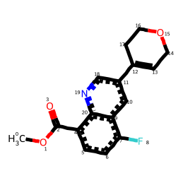 COC(=O)c1ccc(F)c2cc(C3=CCOCC3)cnc12